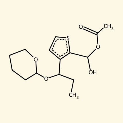 CCC(OC1CCCCO1)c1ccsc1C(O)OC(C)=O